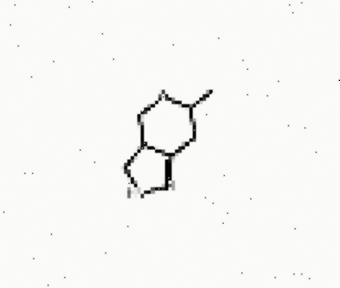 CC1CC2=NNCC2CO1